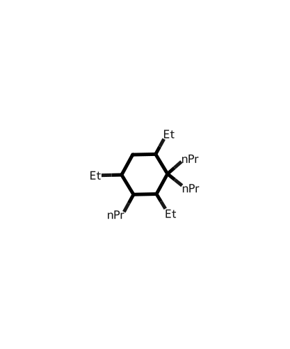 CCCC1C(CC)CC(CC)C(CCC)(CCC)C1CC